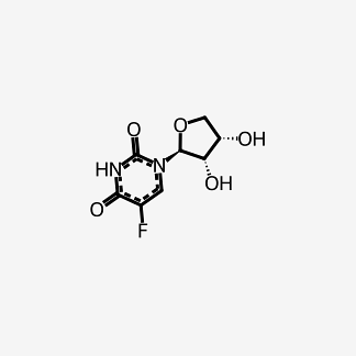 O=c1[nH]c(=O)n([C@H]2OC[C@H](O)[C@@H]2O)cc1F